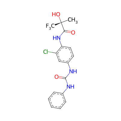 C[C@@](O)(C(=O)Nc1ccc(NC(=O)Nc2ccccc2)cc1Cl)C(F)(F)F